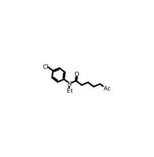 CCN(C(=O)CCCCC(C)=O)c1ccc(Cl)cc1